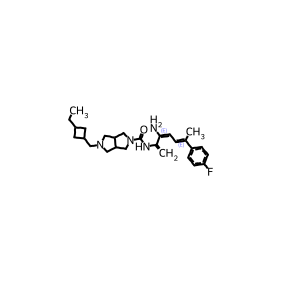 C=C(NC(=O)N1CC2CN(CC3CC(CC)C3)CC2C1)/C(N)=C\C=C(/C)c1ccc(F)cc1